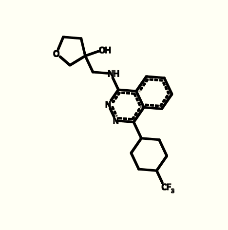 OC1(CNc2nnc(C3CCC(C(F)(F)F)CC3)c3ccccc23)CCOC1